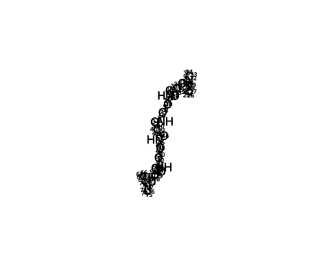 CC1(C(=O)NCCOCCOCCNS(=O)(=O)c2ccc(O[C@H]3c4ccccc4C[C@@H]3N3CCCCC3)cc2)C=CC=C(C(=O)NCCOCCOCCNS(=O)(=O)c2ccc(O[C@H]3c4ccccc4CC3N3CCCCC3)cc2)C1